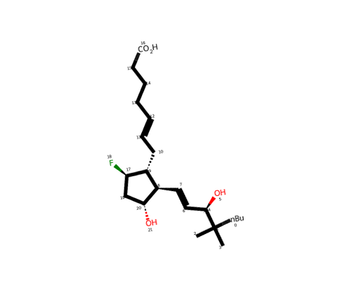 CCCCC(C)(C)[C@H](O)C=C[C@@H]1[C@@H](CC=CCCCC(=O)O)[C@H](F)C[C@H]1O